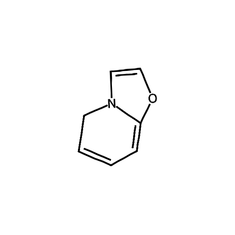 C1=CCN2C=COC2=C1